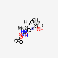 COc1cc(/C=C/c2cc(O)cc(C)c2CC=C(C)C)ccc1NC(=O)CNC(=O)OCC1c2ccccc2-c2ccccc21